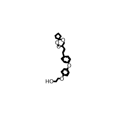 OCCOc1ccc(Oc2ccc(C=CC3COC4(CCCC4)OO3)cc2)cc1